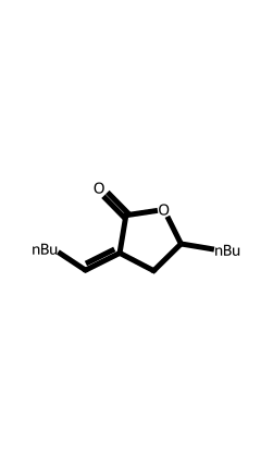 CCCCC=C1CC(CCCC)OC1=O